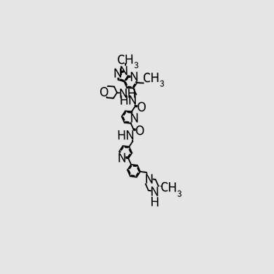 CCc1nc2c(cnn2CC)c(NC2CCOCC2)c1CNC(=O)c1cccc(C(=O)NCc2ccnc(-c3cccc(CN4CCN[C@@H](C)C4)c3)c2)n1